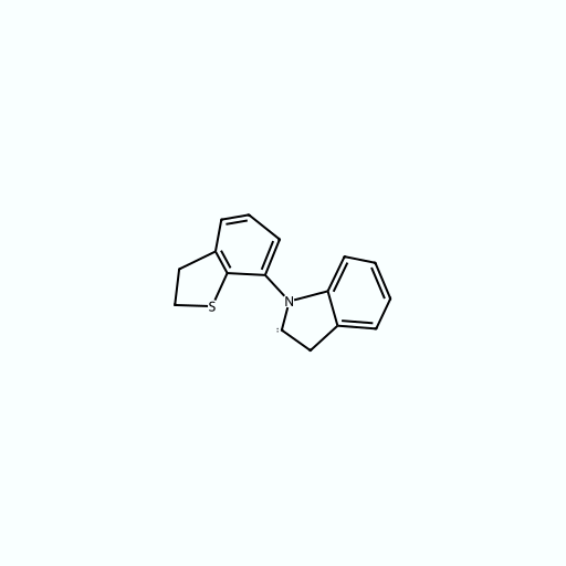 [C]1Cc2ccccc2N1c1cccc2c1SCC2